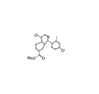 COC(=O)c1ccc2c(Cl)cnc(-c3ccc(Cl)cc3C)c2c1